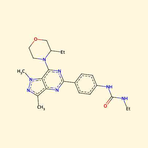 CCNC(=O)Nc1ccc(-c2nc(N3CCOCC3CC)c3c(n2)c(C)nn3C)cc1